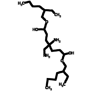 CCCCC(CC)COC(O)CCC(N)(CN)CCC(O)OCC(CC)CCCC